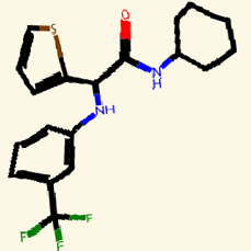 O=C(NC1CCCCC1)C(Nc1cccc(C(F)(F)F)c1)c1cccs1